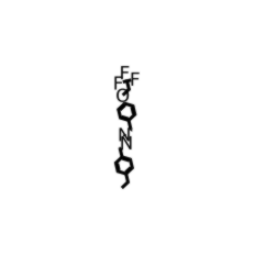 CCc1ccc(C=NN=Cc2ccc(OCC(F)(F)F)cc2)cc1